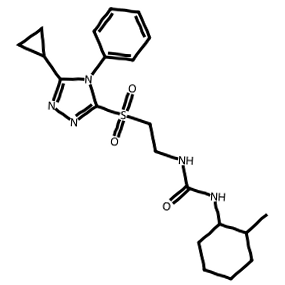 CC1CCCCC1NC(=O)NCCS(=O)(=O)c1nnc(C2CC2)n1-c1ccccc1